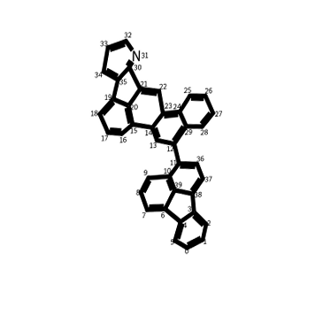 c1ccc2c(c1)-c1cccc3c(-c4cc5c6cccc7c6c(cc5c5ccccc45)-c4ncccc4-7)ccc-2c13